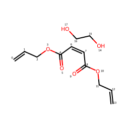 C=CCOC(=O)/C=C\C(=O)OCC=C.OCCO